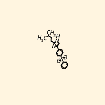 CC(C)CCc1nc(-c2ccc(S(=O)(=O)c3ccccc3)cc2)c[nH]1